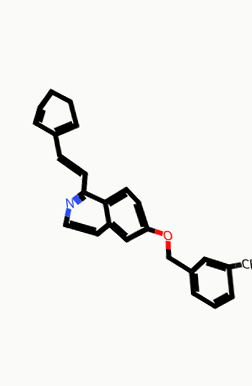 FC(F)(F)c1cccc(COc2ccc3c(C=CC4=CCCC=C4)nccc3c2)c1